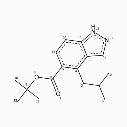 CC(C)Cc1c(C(=O)OC(C)(C)C)ccc2[nH]ncc12